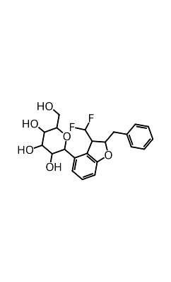 OCC1OC(c2cccc3c2C(C(F)F)C(Cc2ccccc2)O3)C(O)C(O)C1O